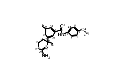 CCOc1ccc(NC(=O)C2=CC(C)CC(C3(C)CCSC(N)=N3)=C2)cc1